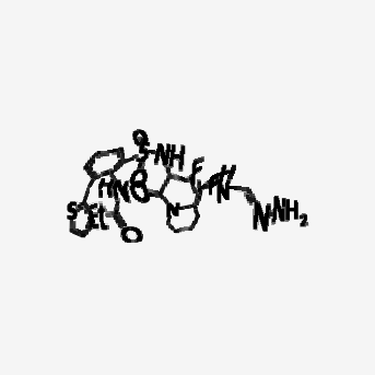 CCC(=O)Nc1c(-c2cccs2)cccc1S(=O)(=O)NC(CCCNC=NN)C(=O)N1CCCCC1=C(F)F